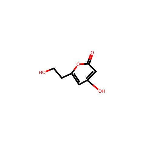 O=c1cc(O)cc(CCO)o1